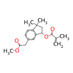 C=C(C)C(=O)OC1CC(C)(C)c2ccc(CC(=O)OC)cc21